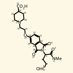 CNC(=O)C(CCC=O)N1C(=O)c2ccc(OCCN3CCC(C(=O)O)CC3)cc2C1=O